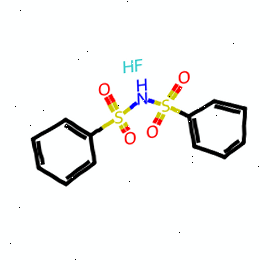 F.O=S(=O)(NS(=O)(=O)c1ccccc1)c1ccccc1